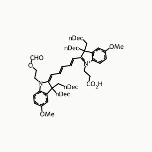 CCCCCCCCCCCC1(CCCCCCCCCC)C(/C=C/C=C/C=C2/N(CCOC=O)c3ccc(OC)cc3C2(CCCCCCCCCC)CCCCCCCCCCC)=[N+](CCC(=O)O)c2ccc(OC)cc21